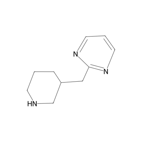 c1cnc(CC2CCCNC2)nc1